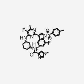 Cc1ccc(S(=O)(=O)n2cc(-c3nc(C)c(F)c(N[C@H]4CCC[C@@H](NC(=O)c5cn(C)cn5)C4)n3)c3cc(F)cc(F)c32)cc1